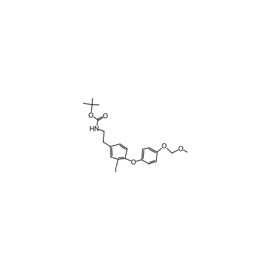 COCOc1ccc(Oc2ccc(CCNC(=O)OC(C)(C)C)cc2I)cc1